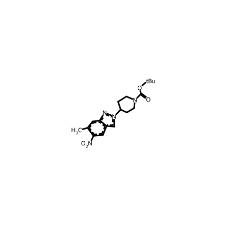 Cc1cc2nn(C3CCN(C(=O)OC(C)(C)C)CC3)cc2cc1[N+](=O)[O-]